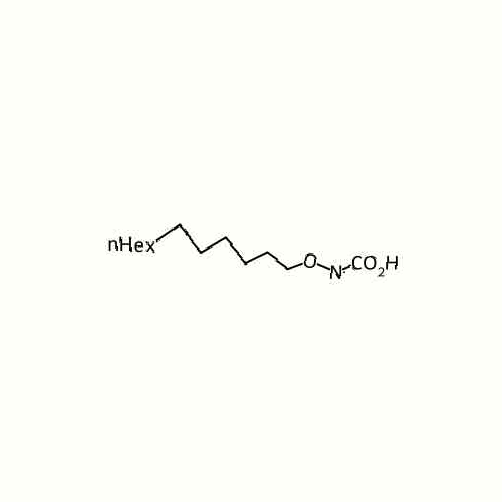 CCCCCCCCCCCCO[N]C(=O)O